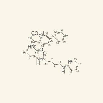 CC(C)C[C@H](NC(=O)CCCCNc1ccccn1)C(=O)NC(CC(=O)O)c1ccc(-c2ccccc2)cc1